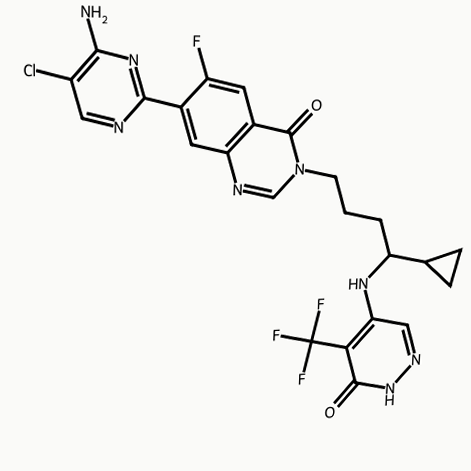 Nc1nc(-c2cc3ncn(CCCC(Nc4cn[nH]c(=O)c4C(F)(F)F)C4CC4)c(=O)c3cc2F)ncc1Cl